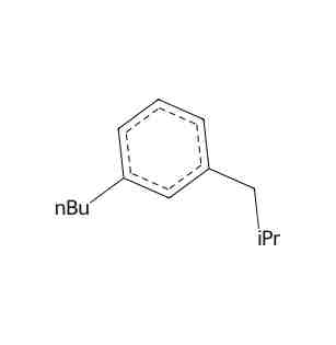 CCCCc1cccc(CC(C)C)c1